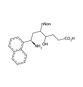 CCCCCCCCCC(C[C@@H](N)c1cccc2ccccc12)C(O)CCC(=O)O